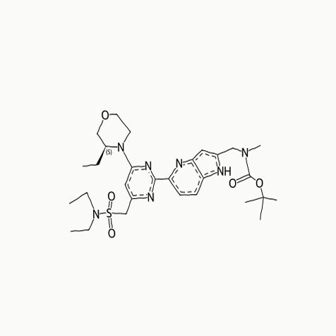 CC[C@H]1COCCN1c1cc(CS(=O)(=O)N(CC)CC)nc(-c2ccc3[nH]c(CN(C)C(=O)OC(C)(C)C)cc3n2)n1